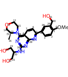 COc1ccc(-c2ccc3c(N4CCOC[C@@H]4C)nc(NC(CO)CO)nc3n2)cc1CO